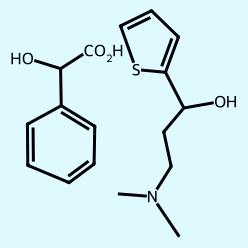 CN(C)CCC(O)c1cccs1.O=C(O)C(O)c1ccccc1